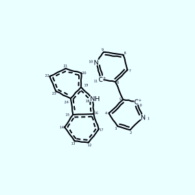 [C+]1=NC=CC=C1C1=CC=CN=[C+]1.c1ccc2c(c1)[nH]c1ccccc12